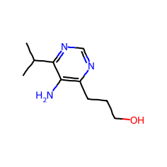 CC(C)c1ncnc(CCCO)c1N